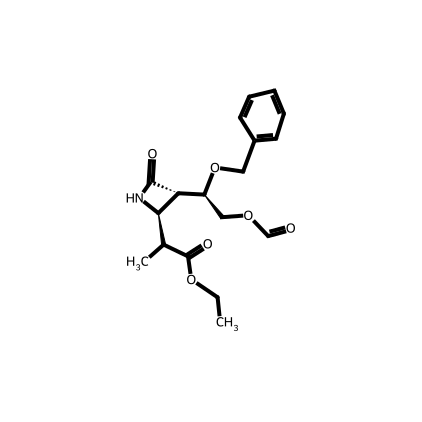 CCOC(=O)C(C)[C@H]1NC(=O)[C@@H]1[C@H](COC=O)OCc1ccccc1